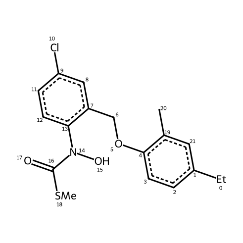 CCc1ccc(OCc2cc(Cl)ccc2N(O)C(=O)SC)c(C)c1